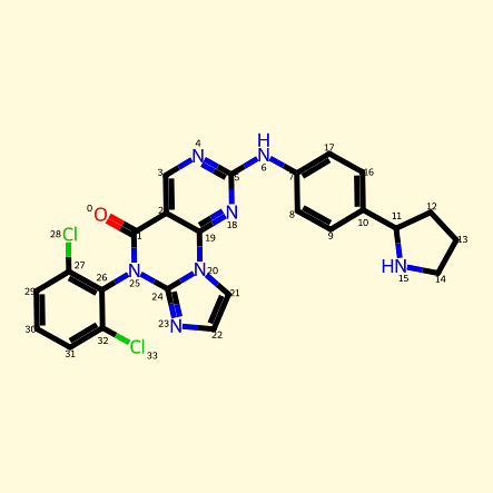 O=c1c2cnc(Nc3ccc(C4CCCN4)cc3)nc2n2ccnc2n1-c1c(Cl)cccc1Cl